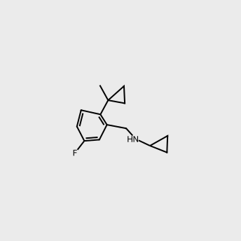 CC1(c2ccc(F)cc2CNC2CC2)CC1